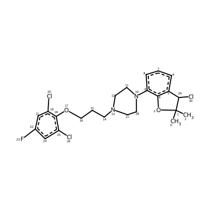 CC1(C)Oc2c(cccc2N2CCN(CCCOc3c(Cl)cc(F)cc3Cl)CC2)C1Cl